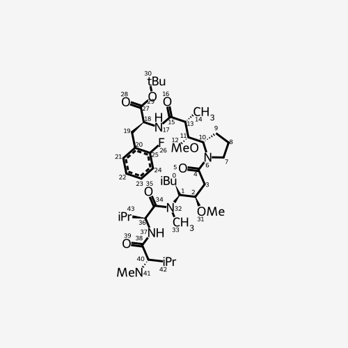 CC[C@H](C)[C@@H]([C@@H](CC(=O)N1CCC[C@H]1[C@H](OC)[C@@H](C)C(=O)N[C@@H](Cc1ccccc1F)C(=O)OC(C)(C)C)OC)N(C)C(=O)[C@@H](NC(=O)[C@@H](NC)C(C)C)C(C)C